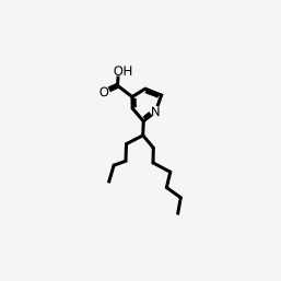 CCCCCCC(CCCC)c1cc(C(=O)O)ccn1